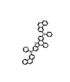 C1=CCCC(N(c2ccc3c(c2)sc2c4ccc(N(c5ccccc5)c5ccc6ccc7ccccc7c6c5)cc4c4c(c32)=CCCC=4)c2ccc3ccc4ccccc4c3c2)=C1